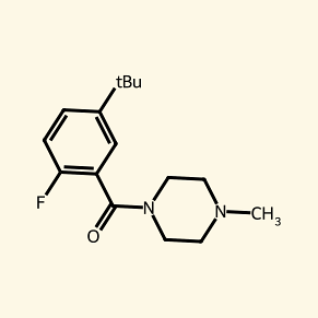 CN1CCN(C(=O)c2cc(C(C)(C)C)ccc2F)CC1